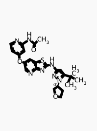 CC(=O)Nc1cc(Oc2cnc3nc(Nc4cc(C(C)(C)C)n([C@H]5CCOC5)n4)sc3c2)ccn1